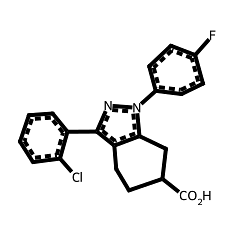 O=C(O)C1CCc2c(-c3ccccc3Cl)nn(-c3ccc(F)cc3)c2C1